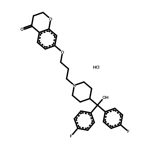 Cl.O=C1CCOc2cc(OCCCN3CCC(C(O)(c4ccc(F)cc4)c4ccc(F)cc4)CC3)ccc21